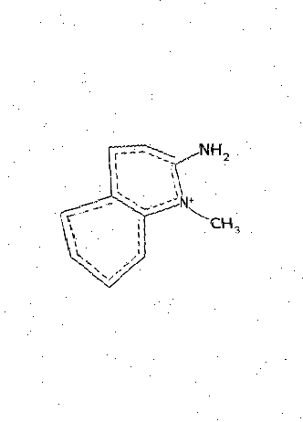 C[n+]1c(N)ccc2ccccc21